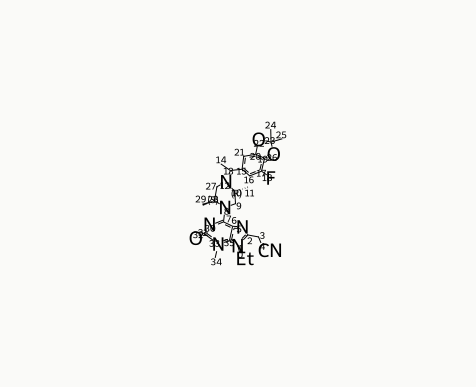 CCn1c(CC#N)nc2c(N3C[C@@H](C)N(C(C)c4cc(F)c5c(c4)OC(C)(C)O5)C[C@@H]3C)nc(=O)n(C)c21